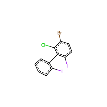 Clc1c(Br)ccc(I)c1-c1ccccc1I